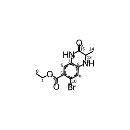 CCOC(=O)c1cc2c(cc1Br)NC(C)C(=O)N2